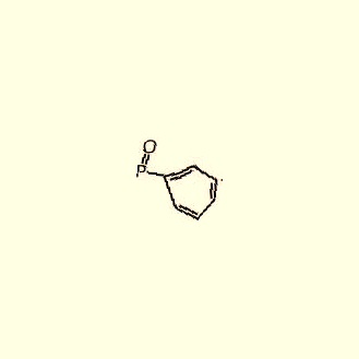 O=Pc1c[c]ccc1